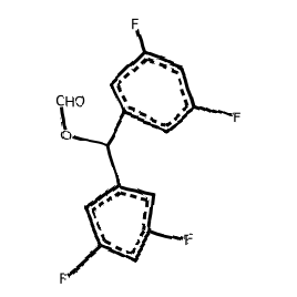 O=COC(c1cc(F)cc(F)c1)c1cc(F)cc(F)c1